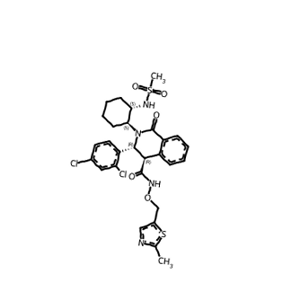 Cc1ncc(CONC(=O)[C@@H]2c3ccccc3C(=O)N([C@H]3CCCC[C@@H]3NS(C)(=O)=O)[C@H]2c2ccc(Cl)cc2Cl)s1